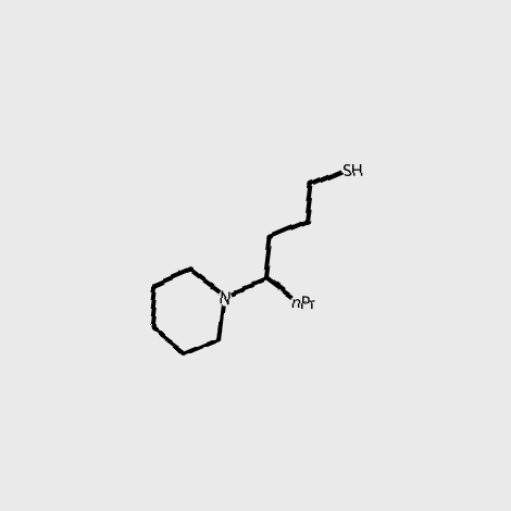 CCCC(CCCS)N1CCCCC1